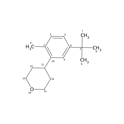 Cc1ccc(C(C)(C)C)cc1C1CCOCC1